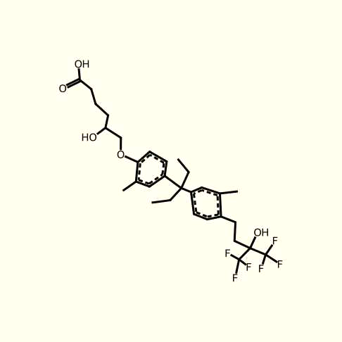 CCC(CC)(c1ccc(CCC(O)(C(F)(F)F)C(F)(F)F)c(C)c1)c1ccc(OCC(O)CCCC(=O)O)c(C)c1